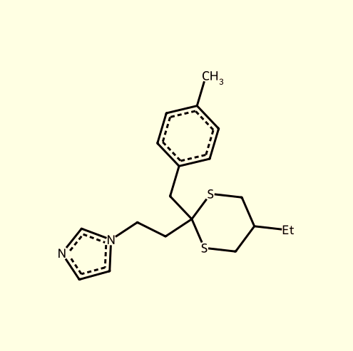 CCC1CSC(CCn2ccnc2)(Cc2ccc(C)cc2)SC1